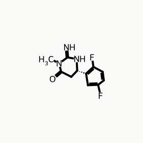 CN1C(=N)N[C@H](c2cc(F)ccc2F)CC1=O